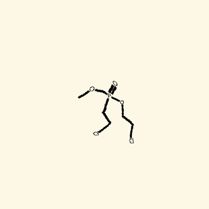 COP(=O)(CCCl)OCCCl